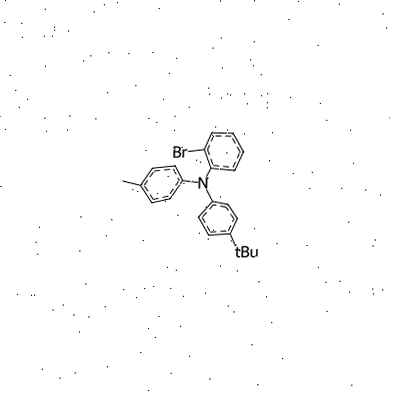 Cc1ccc(N(c2ccc(C(C)(C)C)cc2)c2ccccc2Br)cc1